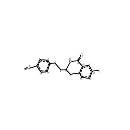 CCCc1ccc(CCC2Cc3ccc(C)cc3C(=O)O2)cc1